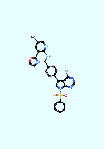 N#Cc1cnc(NCc2ccc(-c3cn(S(=O)(=O)c4ccccc4)c4ncnc(N)c34)cc2)c(-c2ncco2)c1